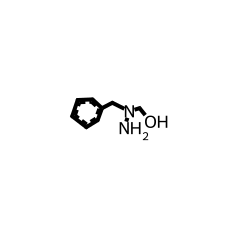 NN(CO)Cc1ccccc1